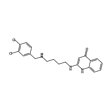 O=c1cc(NCCCCNCc2ccc(Cl)c(Cl)c2)[nH]c2ccccc12